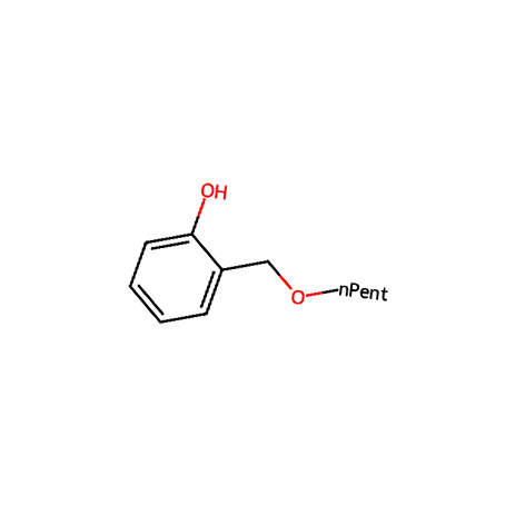 CCCCCOCc1ccccc1O